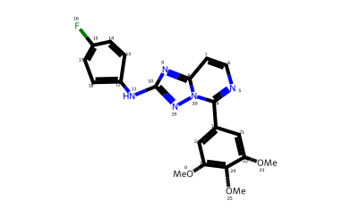 COc1cc(-c2nccc3nc(Nc4ccc(F)cc4)nn23)cc(OC)c1OC